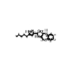 CCCCCc1cc(C(=O)N[C@@H]2COc3ccccc3NC2=O)n[nH]1